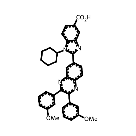 COc1cccc(-c2nc3ccc(-c4nc5cc(C(=O)O)ccc5n4C4CCCCC4)cc3nc2-c2cccc(OC)c2)c1